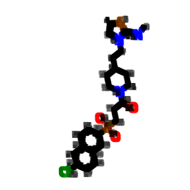 C/N=c1\sccn1CCC1CCN(C(=O)CCS(=O)(=O)c2ccc3cc(Cl)ccc3c2)CC1